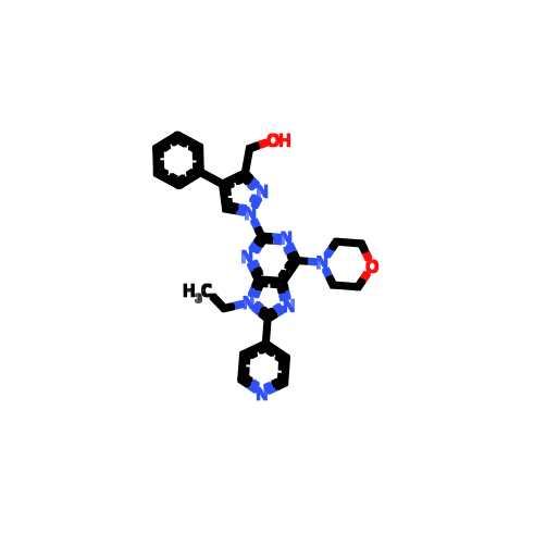 CCn1c(-c2ccncc2)nc2c(N3CCOCC3)nc(-n3cc(-c4ccccc4)c(CO)n3)nc21